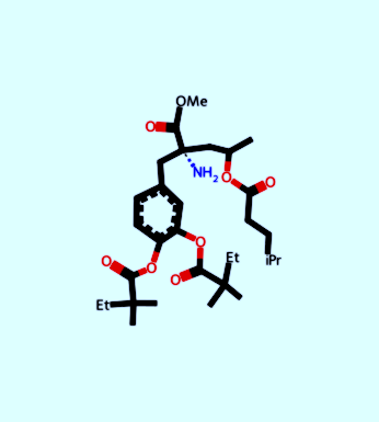 CCC(C)(C)C(=O)Oc1ccc(C[C@](N)(CC(C)OC(=O)CCC(C)C)C(=O)OC)cc1OC(=O)C(C)(C)CC